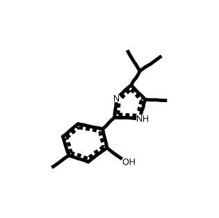 Cc1ccc(-c2nc(C(C)C)c(C)[nH]2)c(O)c1